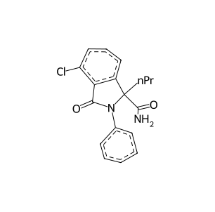 CCCC1(C(N)=O)c2cccc(Cl)c2C(=O)N1c1ccccc1